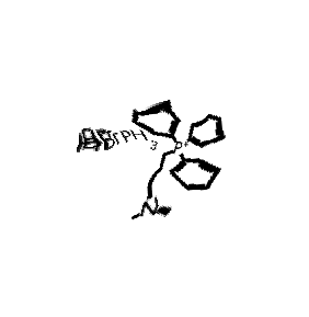 Br.CN(C)CCC[P+](c1ccccc1)(c1ccccc1)c1ccccc1.P.[Br-]